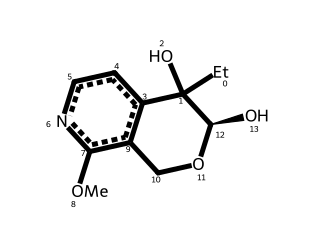 CCC1(O)c2ccnc(OC)c2CO[C@@H]1O